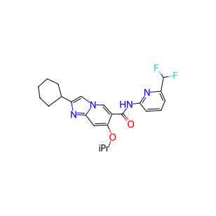 CC(C)Oc1cc2nc(C3CCCCC3)cn2cc1C(=O)Nc1cccc(C(F)F)n1